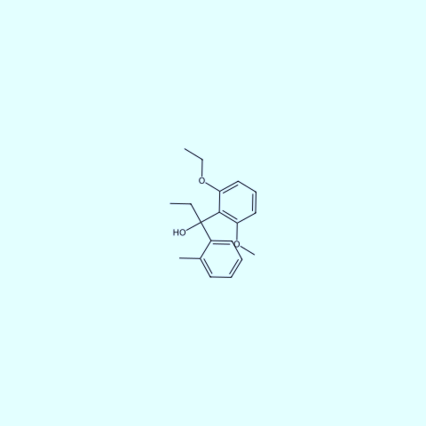 CCOc1cccc(OC)c1C(O)(CC)c1ccccc1C